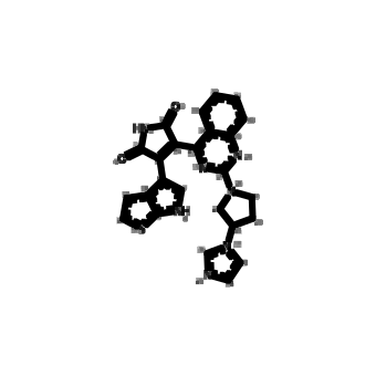 O=C1NC(=O)C(c2c[nH]c3sccc23)=C1c1nc(N2CCC(n3ccnc3)C2)nc2ccccc12